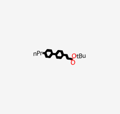 CCCc1ccc(-c2ccc(C=CC(=O)OC(C)(C)C)cc2)cc1